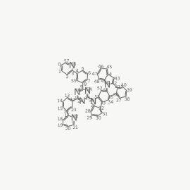 c1ccc(-c2cccc(-c3nc(-c4cccc(-c5ccccn5)c4)nc(-n4c5ccccc5c5cc6c7ccccc7c7cc8ccccc8n7c6cc54)n3)c2)nc1